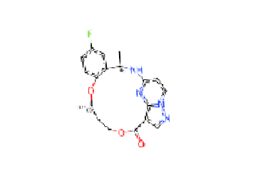 C[C@H]1CCOC(=O)c2cnn3ccc(nc23)N[C@H](C)c2cc(F)ccc2O1